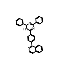 c1ccc(C2=NC(c3ccccc3)NC(c3ccc(-c4nccc5ccccc45)cc3)=N2)cc1